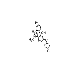 CC(C)c1ccc(C(O)(c2cncc(OC3CCC(=O)CC3)c2)C2(C)CN(C)C2)cc1